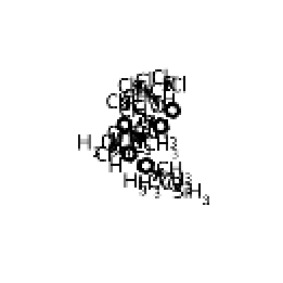 CC(C)(C)[SiH](Cl)c1ccccc1.CC(C)(C)[Si](Cl)(Cl)c1ccccc1.CC(C)(C)c1ccccc1.CO[SiH3].C[Si](C)(Cl)CCCOc1ccccc1.Cl[SiH](Cl)Cl.Cl[Si](Cl)(Cl)CCCOc1ccccc1